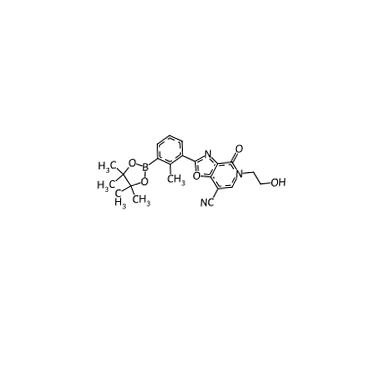 Cc1c(B2OC(C)(C)C(C)(C)O2)cccc1-c1nc2c(=O)n(CCO)cc(C#N)c2o1